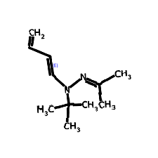 C=C/C=C/N(N=C(C)C)C(C)(C)C